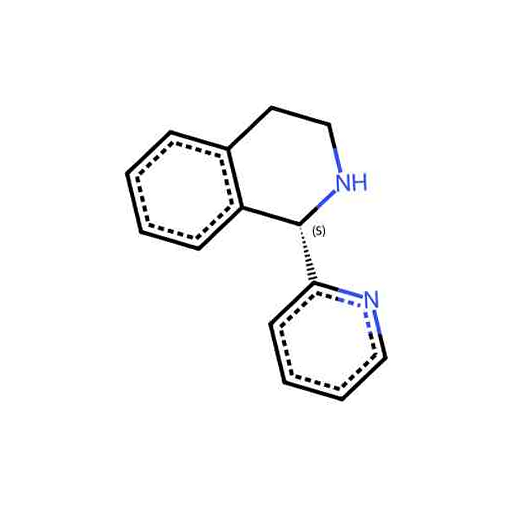 c1ccc([C@H]2NCCc3ccccc32)nc1